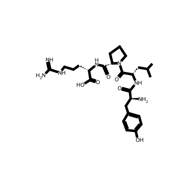 CC(C)C[C@H](NC(=O)[C@@H](N)Cc1ccc(O)cc1)C(=O)N1CCC[C@H]1C(=O)N[C@@H](CCCNC(=N)N)C(=O)O